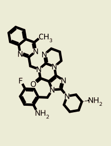 Cc1nc(CN2C(=O)c3c(nc(N4CCC[C@@H](N)C4)n3Cc3cc(F)ccc3N)N3CCCN=C23)nc2ccccc12